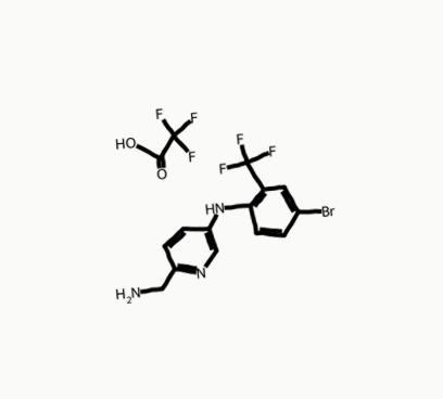 NCc1ccc(Nc2ccc(Br)cc2C(F)(F)F)cn1.O=C(O)C(F)(F)F